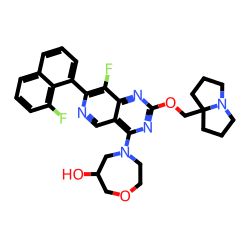 OC1COCCN(c2nc(OCC34CCCN3CCC4)nc3c(F)c(-c4cccc5cccc(F)c45)ncc23)C1